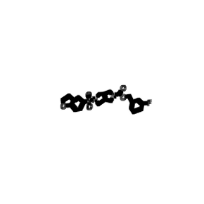 O=C(OCc1cccc(F)c1)N1CC2=C(C1)CN(S(=O)(=O)c1ccc3occc3c1)C2